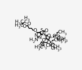 CC[Si](CC)(CC)OC[C@H]1O[C@@H](n2c(=O)sc3c(OCCCC(=O)OC(C)(C)C)nc(N)nc32)[C@H](O[Si](CC)(CC)CC)[C@@H]1O[Si](CC)(CC)CC